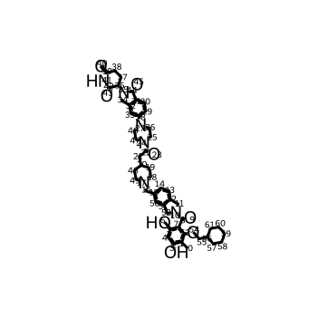 Cc1c(O)cc(O)c(C(=O)N2Cc3ccc(CN4CCC(CC(=O)N5CCN(c6ccc7c(c6)CN(C6CCC(=O)NC6=O)C7=O)CC5)CC4)cc3C2)c1OCC1CCCCC1